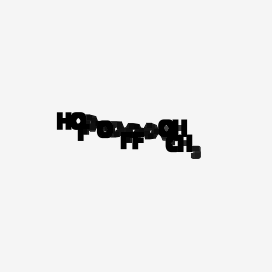 CCCC(O)c1ccc(-c2ccc(-c3ccc(OCc4ccc(O)c(F)c4)cc3)c(F)c2F)cc1